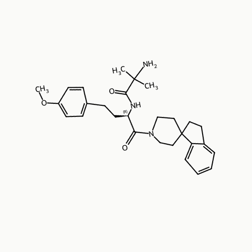 COc1ccc(CC[C@@H](NC(=O)C(C)(C)N)C(=O)N2CCC3(CCc4ccccc43)CC2)cc1